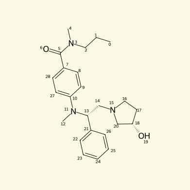 CCCN(C)C(=O)c1ccc(N(C)[C@H](CN2CC[C@H](O)C2)c2ccccc2)cc1